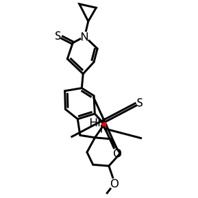 COC1CCC2(CC1)Cc1ccc(-c3ccn(C4CC4)c(=S)c3)cc1C21NC(=S)N(C)C1=O